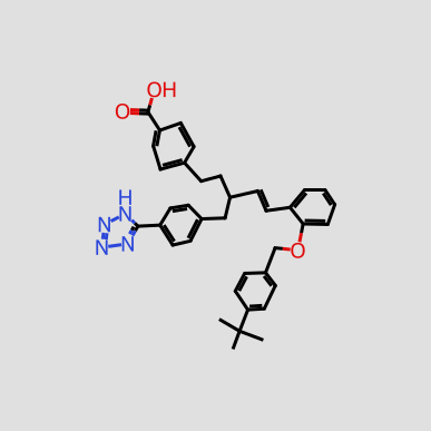 CC(C)(C)c1ccc(COc2ccccc2/C=C/C(CCc2ccc(C(=O)O)cc2)Cc2ccc(-c3nnn[nH]3)cc2)cc1